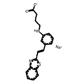 O=C([O-])CCCNc1cccc(/C=C/c2nc3ccccc3s2)c1.[Na+]